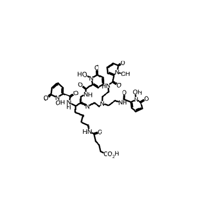 O=C(O)CCCC(=O)NCCCCC(NC(=O)c1cccc(=O)n1O)/C(CNC(=O)c1cccc(=O)n1O)=N/CCN(CCNC(=O)c1cccc(=O)n1O)CCNC(=O)c1cccc(=O)n1O